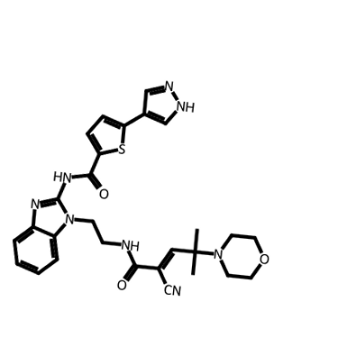 CC(C)(C=C(C#N)C(=O)NCCn1c(NC(=O)c2ccc(-c3cn[nH]c3)s2)nc2ccccc21)N1CCOCC1